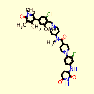 COc1cc(-c2cn(C)c(=O)c(C)c2C)cc(Cl)c1CN1CCC(N(C)C(=O)C2CCN(c3ccc(NC4CCC(=O)NC4=O)cc3F)CC2)CC1